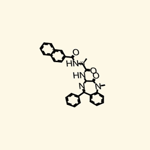 C[C@H](NC(=O)c1ccc2ccccc2c1)C(=O)NC1N=C(c2ccccc2)c2ccccc2N(C)C1=O